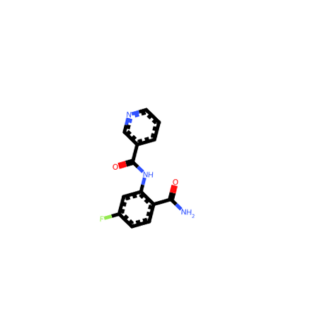 NC(=O)c1ccc(F)cc1NC(=O)c1cccnc1